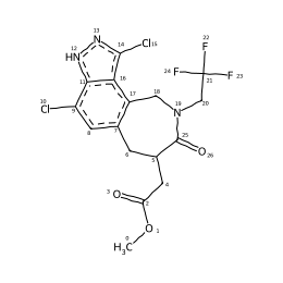 COC(=O)CC1Cc2cc(Cl)c3[nH]nc(Cl)c3c2CN(CC(F)(F)F)C1=O